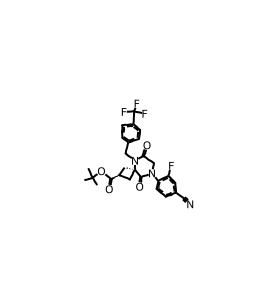 CC(C)(C)OC(=O)[C@H]1C[C@@]2(C1)C(=O)N(c1ccc(C#N)cc1F)CC(=O)N2Cc1ccc(C(F)(F)F)cc1